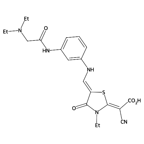 CCN(CC)CC(=O)Nc1cccc(NC=c2sc(=C(C#N)C(=O)O)n(CC)c2=O)c1